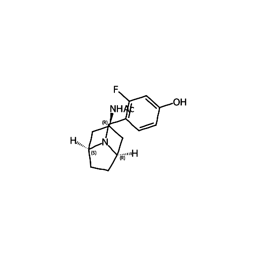 CC(=O)N[C@H]1C[C@H]2CC[C@@H](C1)N2Cc1ccc(O)cc1F